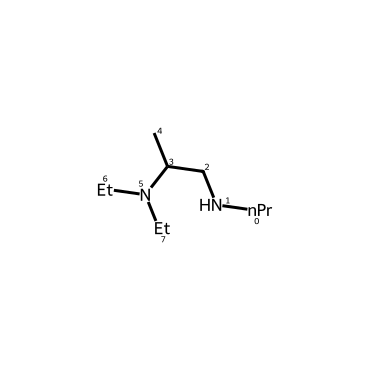 CCCNCC(C)N(CC)CC